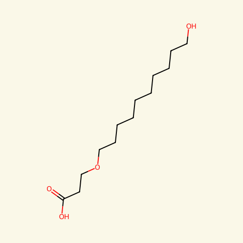 O=C(O)CCOCCCCCCCCCCO